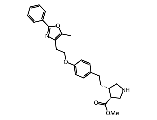 COC(=O)[C@@H]1CNC[C@H]1CCc1ccc(OCCc2nc(-c3ccccc3)oc2C)cc1